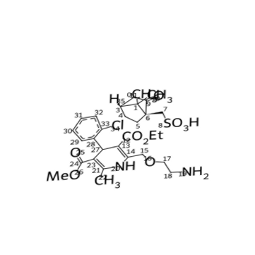 CC1(C)[C@@H]2CC[C@@]1(CS(=O)(=O)O)C(=O)C2.CCOC(=O)C1=C(COCCN)NC(C)=C(C(=O)OC)C1c1ccccc1Cl